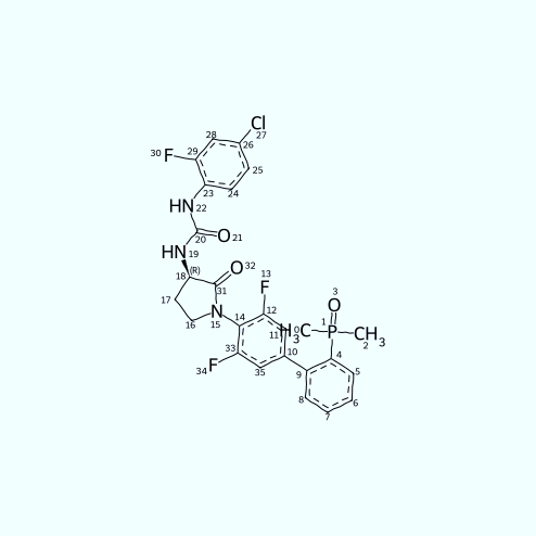 CP(C)(=O)c1ccccc1-c1cc(F)c(N2CC[C@@H](NC(=O)Nc3ccc(Cl)cc3F)C2=O)c(F)c1